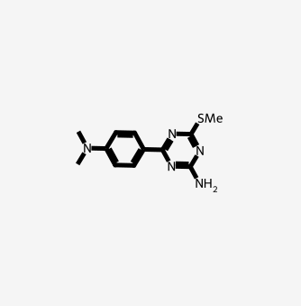 CSc1nc(N)nc(-c2ccc(N(C)C)cc2)n1